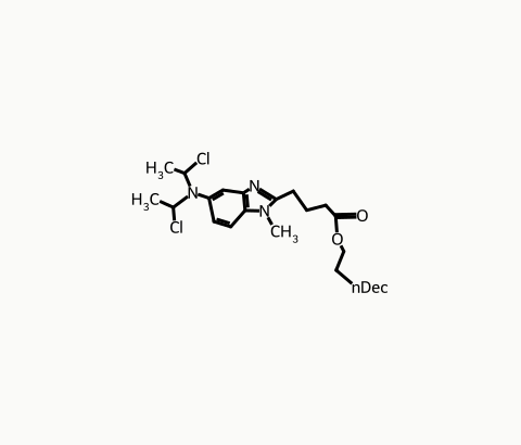 CCCCCCCCCCCCOC(=O)CCCc1nc2cc(N(C(C)Cl)C(C)Cl)ccc2n1C